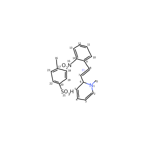 CN1C=CC=CC1/C=C/c1ccccc1[N+](=O)[O-].Cc1ccc(S(=O)(=O)O)cc1